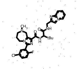 CN1CCCn2c(-c3cc(Cl)ccc3F)nc(C(=O)NC(C(=O)NCc3cn4ccccc4n3)C(C)(C)C)c2C1